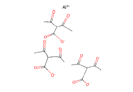 CC(=O)C(C(C)=O)C(=O)[O-].CC(=O)C(C(C)=O)C(=O)[O-].CC(=O)C(C(C)=O)C(=O)[O-].[Al+3]